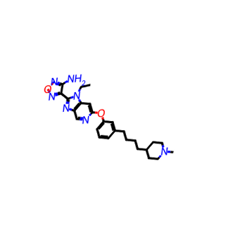 CCn1c(-c2nonc2N)nc2cnc(Oc3cccc(CCCCC4CCN(C)CC4)c3)cc21